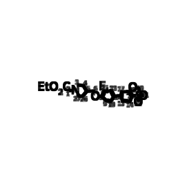 CCOC(=O)CN1CCC(COc2ccc(-c3ccc4c(c3)OCS4(=O)=O)cc2F)CC1